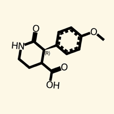 COc1ccc([C@@H]2C(=O)NCCC2C(=O)O)cc1